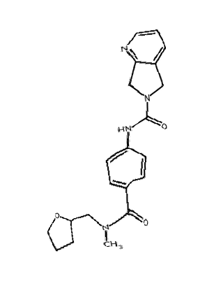 CN(CC1CCCO1)C(=O)c1ccc(NC(=O)N2Cc3cccnc3C2)cc1